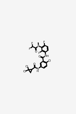 CN(C(=O)C(F)F)c1c(F)ccc(NC(=O)c2cc(NC(=O)C3CC3(Cl)Cl)ccc2Cl)c1F